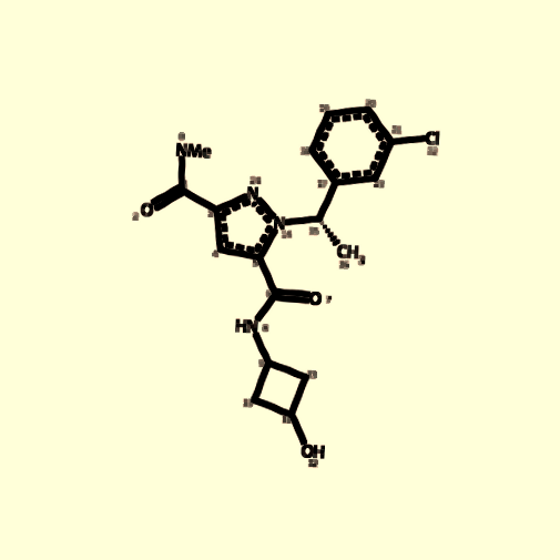 CNC(=O)c1cc(C(=O)NC2CC(O)C2)n([C@@H](C)c2cccc(Cl)c2)n1